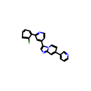 Fc1ccccc1-c1cc(-c2cnc3cc(-c4cccnc4)ccn23)ccn1